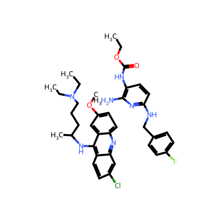 CCN(CC)CCCC(C)Nc1c2ccc(Cl)cc2nc2ccc(OC)cc12.CCOC(=O)Nc1ccc(NCc2ccc(F)cc2)nc1N